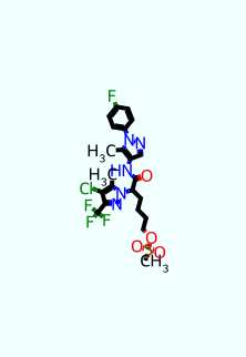 Cc1c(NC(=O)C(CCCCOS(C)(=O)=O)n2nc(C(F)(F)F)c(Cl)c2C)cnn1-c1ccc(F)cc1